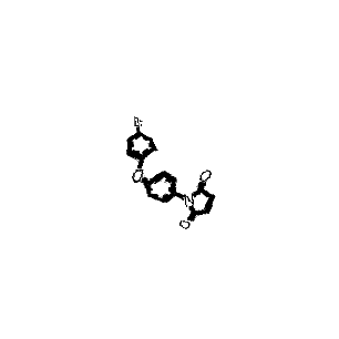 O=C1C=CC(=O)N1c1ccc(Oc2ccc(Br)cc2)cc1